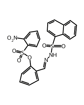 O=[N+]([O-])c1ccccc1S(=O)(=O)Oc1ccccc1C=NNS(=O)(=O)c1cccc2ccccc12